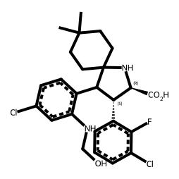 CC1(C)CCC2(CC1)N[C@@H](C(=O)O)[C@H](c1cccc(Cl)c1F)C2c1ccc(Cl)cc1NCO